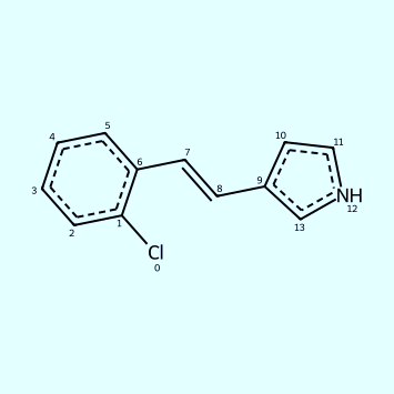 Clc1ccccc1C=Cc1cc[nH]c1